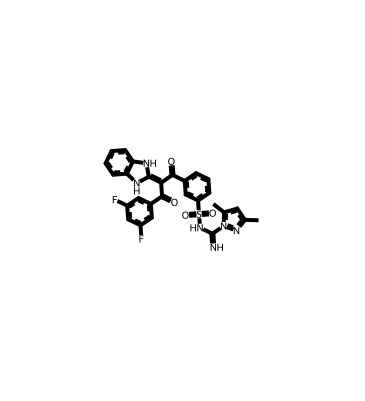 Cc1cc(C)n(C(=N)NS(=O)(=O)c2cccc(C(=O)C(C(=O)c3cc(F)cc(F)c3)=C3Nc4ccccc4N3)c2)n1